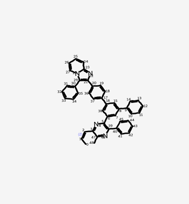 C/C=C\c1nc(-c2cc(-c3ccccc3)cc(-c3ccc(-c4nc5ccccn5c4-c4ccccc4)cc3)c2)c(-c2ccccc2)nc1C